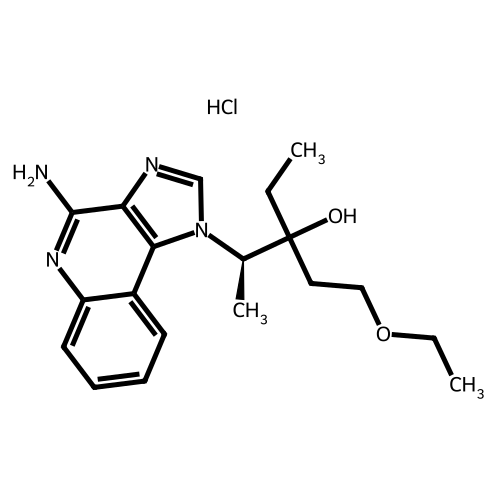 CCOCCC(O)(CC)[C@@H](C)n1cnc2c(N)nc3ccccc3c21.Cl